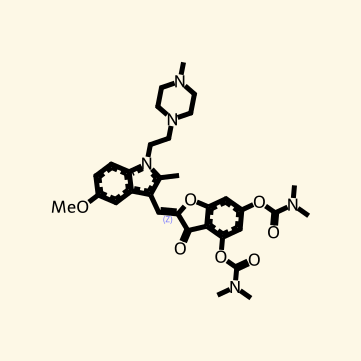 COc1ccc2c(c1)c(/C=C1\Oc3cc(OC(=O)N(C)C)cc(OC(=O)N(C)C)c3C1=O)c(C)n2CCN1CCN(C)CC1